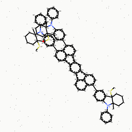 CSC12CCCCC1(C)N(c1ccccc1)c1ccc(-c3ccc4c5cc6c(cc5c5cccc3c54)c3ccc(-c4ccc5c(c4)C4(SC)CCCCC4(C)N5c4ccccc4)c4c(-c5ccc7c(c5)C5(SC)CCCCC5(C)N7c5ccccc5)ccc6c43)cc12